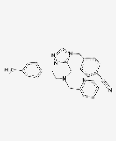 Cc1ccc(CCN(Cc2ccccn2)Cc2nncn2Cc2ccc(C#N)cc2)cc1